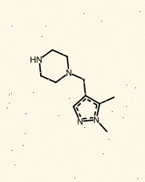 Cc1c(CN2CCNCC2)cnn1C